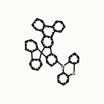 c1ccc2c(c1)Sc1ccccc1N2c1ccc2c(c1)-c1cc3c4ccccc4c4ccccc4c3cc1C21c2ccccc2-c2ccccc21